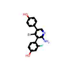 CCc1c(-c2ccc(O)cc2)cnc(N)c1-c1ccc(O)cc1F